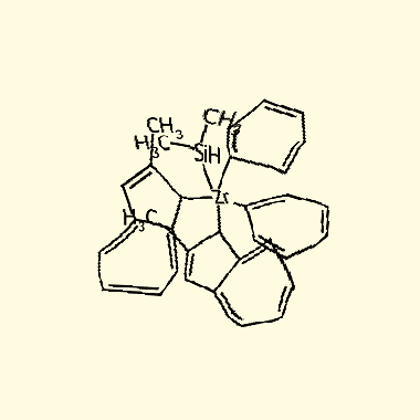 CC1=Cc2ccccc2[CH]1[Zr]([c]1ccccc1)([c]1ccccc1)([CH]1C(C)=Cc2ccccc21)[SiH](C)C